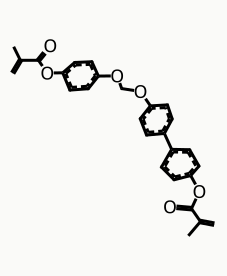 C=C(C)C(=O)Oc1ccc(OCOc2ccc(-c3ccc(OC(=O)C(=C)C)cc3)cc2)cc1